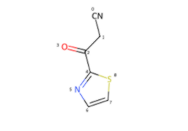 N#CCC(=O)c1nccs1